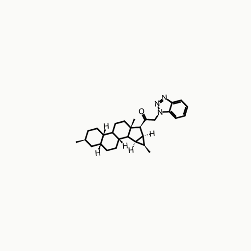 C[C@H]1CC[C@@H]2C3CC[C@@]4(C)C([C@@H]3CC[C@@H]2C1)[C@@H]1[C@H](C)[C@@H]1[C@@H]4C(=O)Cn1nnc2ccccc21